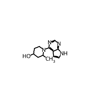 CC1CC(O)CCN1c1ncnc2[nH]ccc12